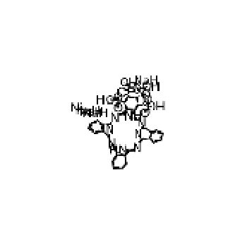 O=S(=O)(O)c1c(S(=O)(=O)O)c(S(=O)(=O)O)c2c3nc4nc(nc5[nH]c(nc6nc(nc([nH]3)c2c1S(=O)(=O)O)-c1ccccc1-6)c1ccccc51)-c1ccccc1-4.[NaH].[NaH].[NaH].[NaH].[Ni]